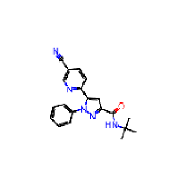 CC(C)(C)NC(=O)c1cc(-c2ccc(C#N)cn2)n(-c2ccccc2)n1